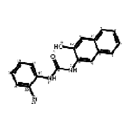 O=C(Nc1cc2ccccc2cc1O)Nc1ccccc1Br